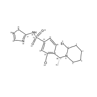 CCC1CCCCN1[C@H](C)c1ccc(S(=O)(=O)Nc2ncns2)cc1Cl